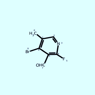 Cc1cnc(F)c(C=O)c1Br